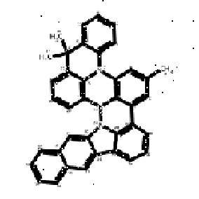 Cc1cc2c3c(c1)N1c4ccccc4C(C)(C)c4cccc(c41)B3n1c3cc4ccccc4cc3c3cccc-2c31